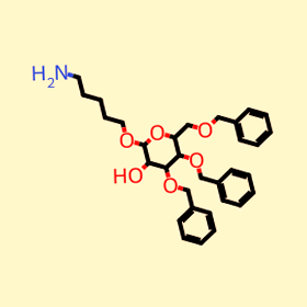 NCCCCCOC1OC(COCc2ccccc2)C(OCc2ccccc2)C(OCc2ccccc2)C1O